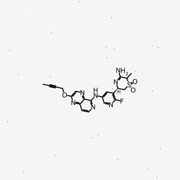 CC#CCOc1cnc2c(Nc3cnc(F)c([C@@H]4CS(=O)(=O)C(C)C(N)=N4)c3)nccc2n1